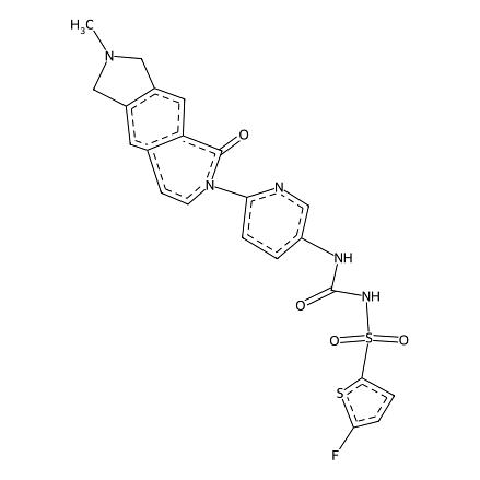 CN1Cc2cc3ccn(-c4ccc(NC(=O)NS(=O)(=O)c5ccc(F)s5)cn4)c(=O)c3cc2C1